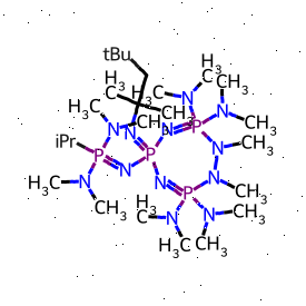 CC(C)P(=NP1(=NC(C)(C)CC(C)(C)C)N=P(N(C)C)(N(C)C)N(C)N(C)P(N(C)C)(N(C)C)=N1)(N(C)C)N(C)C